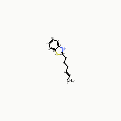 [CH2]C=CCCCc1nc2ccccc2s1